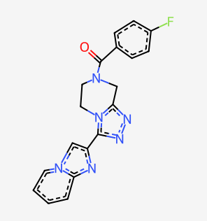 O=C(c1ccc(F)cc1)N1CCn2c(nnc2-c2cn3ccccc3n2)C1